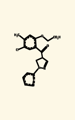 Cc1cc(OCC(=O)O)c(C(=O)C2C=NN(c3ccccc3)C2)cc1Cl